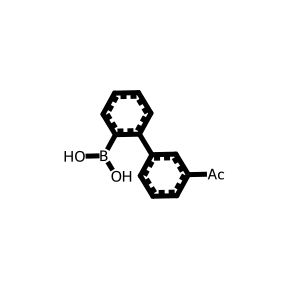 CC(=O)c1cccc(-c2ccccc2B(O)O)c1